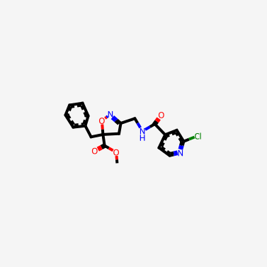 COC(=O)C1(Cc2ccccc2)CC(CNC(=O)c2ccnc(Cl)c2)=NO1